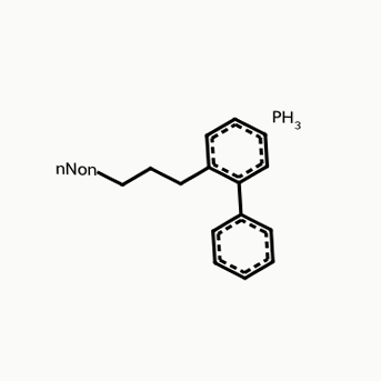 CCCCCCCCCCCCc1ccccc1-c1ccccc1.P